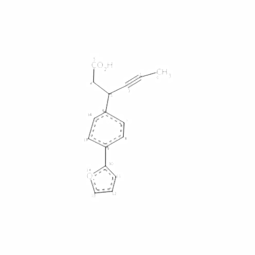 CC#CC(CC(=O)O)c1ccc(-c2ccco2)cc1